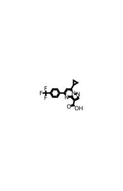 O=C(O)c1cnn2c(C3CC3)cc(-c3ccc(C(F)(F)F)cc3)nc12